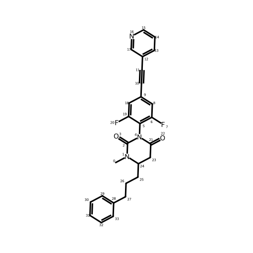 CN1C(=O)N(c2c(F)cc(C#Cc3cccnc3)cc2F)C(=O)CC1CCCc1ccccc1